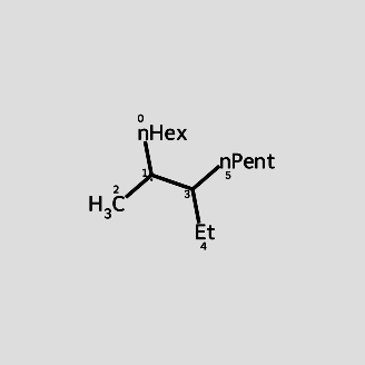 CCCCCC[C](C)C(CC)CCCCC